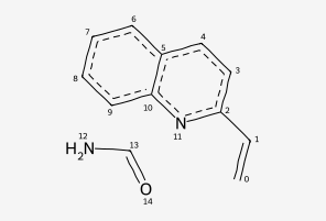 C=Cc1ccc2ccccc2n1.NC=O